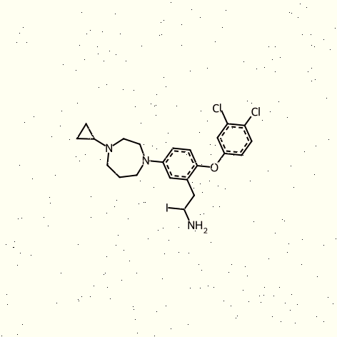 NC(I)Cc1cc(N2CCCN(C3CC3)CC2)ccc1Oc1ccc(Cl)c(Cl)c1